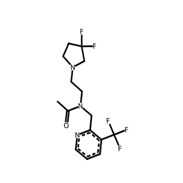 CC(=O)N(CCN1CCC(F)(F)C1)Cc1ncccc1C(F)(F)F